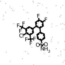 NS(=O)(=O)c1ccc(-c2cc(F)c(F)cc2-c2cc(C(F)(F)F)c(Cl)c(C(F)(F)F)c2)cc1